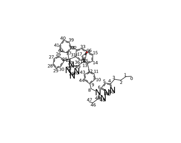 CCCCc1cc2n(Cc3ccc(-c4ccccc4-c4nnnn4C(c4ccccc4)(c4ccccc4)c4ccccc4)cc3)c(CC)nn2n1